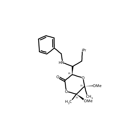 CO[C@@]1(C)OC(=O)[C@@H](C(CC(C)C)NCc2ccccc2)O[C@]1(C)OC